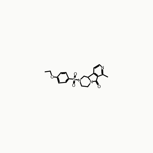 CCOc1ccc(S(=O)(=O)N2CCN3C(=O)c4c(ccnc4C)C3C2)cc1